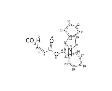 O=C(O)/C=C\C(=O)OC1=C2NC(c3ccccc32)c2ccccc21